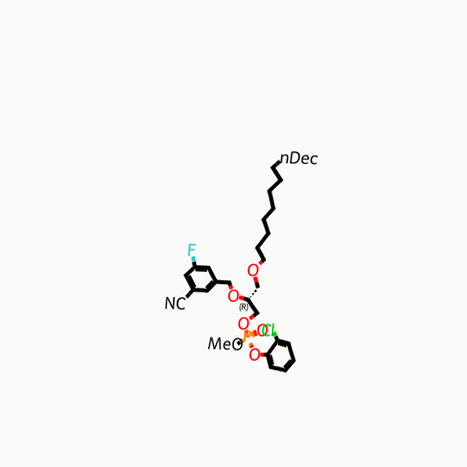 CCCCCCCCCCCCCCCCCCOC[C@H](COP(=O)(OC)Oc1ccccc1Cl)OCc1cc(F)cc(C#N)c1